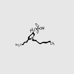 CCCCCCCN1CCCC1CCCC.CS(=O)(=O)O